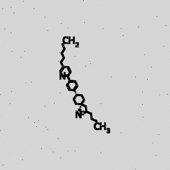 C=CCCCCc1ccc(-c2ccc([C@H]3CC[C@](C#N)(CC(F)CCCC)CC3)cc2)nc1